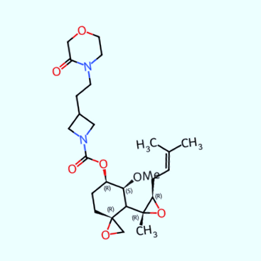 CO[C@H]1C([C@@]2(C)O[C@@H]2CC=C(C)C)[C@]2(CC[C@H]1OC(=O)N1CC(CCN3CCOCC3=O)C1)CO2